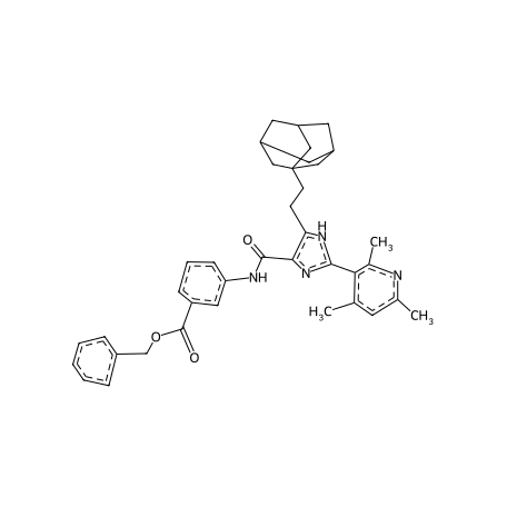 Cc1cc(C)c(-c2nc(C(=O)Nc3cccc(C(=O)OCc4ccccc4)c3)c(CCC34CC5CC(CC(C5)C3)C4)[nH]2)c(C)n1